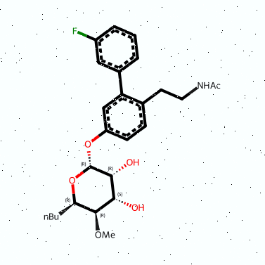 CCCC[C@H]1O[C@H](Oc2ccc(CCNC(C)=O)c(-c3cccc(F)c3)c2)[C@H](O)[C@H](O)[C@H]1OC